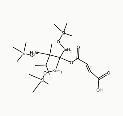 CC(C)C(C)([SiH2]O[Si](C)(C)C)C(OC(=O)/C=C/C(=O)O)([SiH2]O[Si](C)(C)C)[SiH2]O[Si](C)(C)C